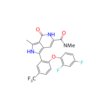 CNC(=O)c1cc2c(-c3cc(C(F)(F)F)ccc3Oc3ccc(F)cc3F)[nH]c(C)c2c(=O)[nH]1